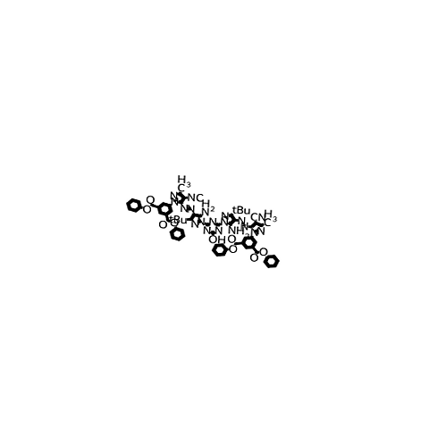 [C-]#[N+]c1c(C)nn(-c2cc(C(=O)Oc3ccccc3)cc(C(=O)Oc3ccccc3)c2)c1N=Nc1c(C(C)(C)C)nn(-c2nc(O)nc(-n3nc(C(C)(C)C)c(N=Nc4c(C#N)c(C)nn4-c4cc(C(=O)Oc5ccccc5)cc(C(=O)Oc5ccccc5)c4)c3N)n2)c1N